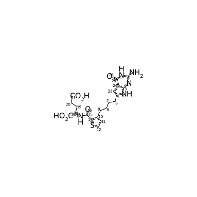 Nc1nc2[nH]c(CCCCc3ccsc3C(=O)NC(CCC(=O)O)C(=O)O)cc2c(=O)[nH]1